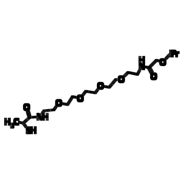 CC(C)OCC(=O)NCCOCCOCCOCCOCCNC(=O)C(C)S